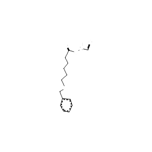 O=CNOC(=O)CCCCCOCc1ccccc1